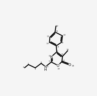 CCCCNc1nc(-c2ccc(C)cc2)c(C)c(=O)o1